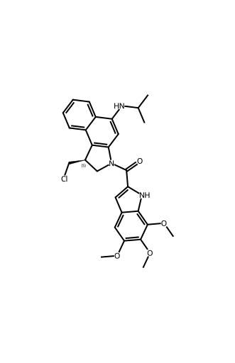 COc1cc2cc(C(=O)N3C[C@@H](CCl)c4c3cc(NC(C)C)c3ccccc43)[nH]c2c(OC)c1OC